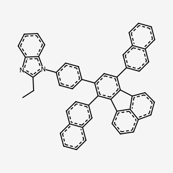 CCc1nc2ccccc2n1-c1ccc(-c2cc(-c3ccc4ccccc4c3)c3c(c2-c2ccc4ccccc4c2)-c2cccc4cccc-3c24)cc1